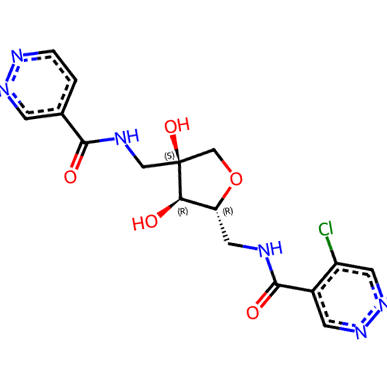 O=C(NC[C@]1(O)CO[C@H](CNC(=O)c2cnncc2Cl)[C@H]1O)c1ccnnc1